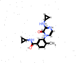 Cc1ccc(C(=O)NC2CC2)cc1-n1ccnc(NC2CC2)c1=O